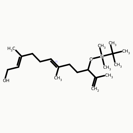 C=C(C)C(CC/C(C)=C/CCC(C)=CCO)O[Si](C)(C)C(C)(C)C